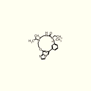 CCN1C(=O)NCCN(C(C)C)CCOc2nc(cn3ccnc23)-c2cccc(c2)[C@H]1C